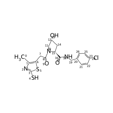 Cc1nc(S)sc1CC(=O)N1C[C@H](O)C[C@H]1C(=O)NCc1ccc(Cl)cc1